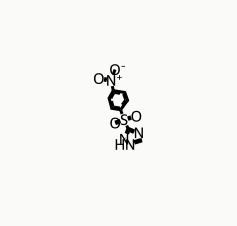 O=[N+]([O-])c1ccc(S(=O)(=O)c2nc[nH]n2)cc1